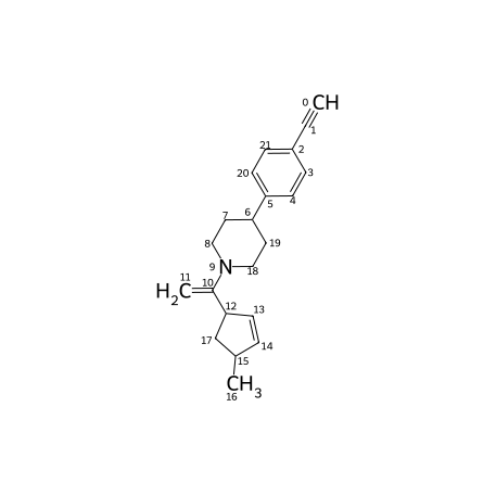 C#Cc1ccc(C2CCN(C(=C)C3C=CC(C)C3)CC2)cc1